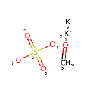 C=O.O=S(=O)([O-])[O-].[K+].[K+]